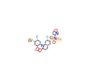 COc1cc(Br)c(F)cc1-n1c(=O)ccc2cc(S(=O)(=O)N(PC)c3ccon3)c(F)cc21